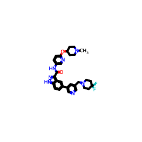 CN1CCC(Oc2ccc(NC(=O)c3n[nH]c4ccc(-c5cncc(CN6CCC(F)(F)CC6)c5)cc34)cn2)CC1